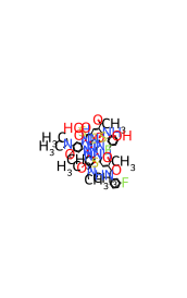 CCN(CC)c1cc(Nc2nc(Nc3cc(N(CC)CC)c(OC)cc3/N=N/c3nc(S(=O)(=O)O)c(/C=C(/C(C)=O)C(=O)Nc4cccc(F)c4)s3)nc(SCCO)n2)c(/N=N/c2ncc(/C=C(\C(C)=O)C(=O)Nc3cccc(F)c3)s2)cc1OC